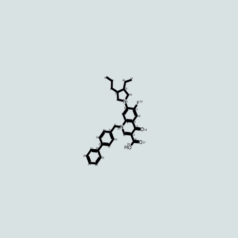 CCCC1CN(c2cc3c(cc2F)c(=O)c(C(=O)O)cn3Cc2ccc(-c3ccccc3)cc2)CC1CC